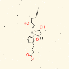 CC#CC[C@@H](C)[C@@H](O)/C=C/[C@H]1[C@@H]2c3cccc(CCCC(=O)OC)c3O[C@@H]2C[C@@H]1O